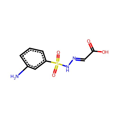 Nc1cccc(S(=O)(=O)NN=CC(=O)O)c1